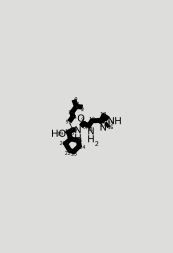 CC(C)CCC[C@H](NC(=O)[C@@H](N)Cc1c[nH]cn1)[C@@H](O)C1CCCCC1